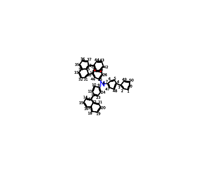 c1ccc(-c2ccc(N(c3ccc(-c4cccc5ccccc45)cc3)c3cccc(-c4cccc5cccc(-c6ccccc6)c45)c3)cc2)cc1